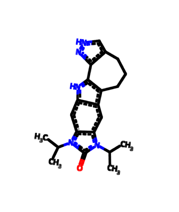 CC(C)n1c(=O)n(C(C)C)c2cc3c4c([nH]c3cc21)-c1n[nH]cc1CCC4